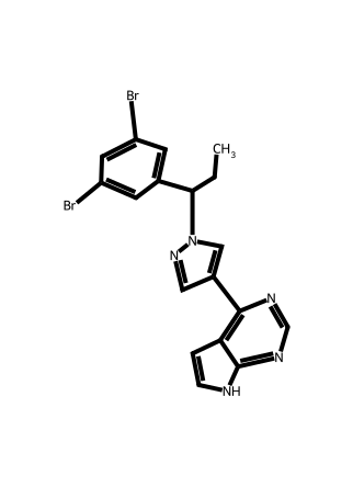 CCC(c1cc(Br)cc(Br)c1)n1cc(-c2ncnc3[nH]ccc23)cn1